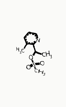 Cc1cccnc1C(C)OS(C)(=O)=O